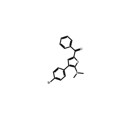 CN(C)c1sc(C(=O)c2ccccc2)cc1-c1ccc(Br)cc1